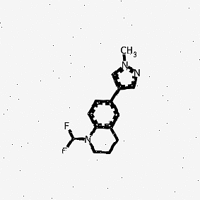 Cn1cc(-c2ccc3c(c2)CCCN3C(F)F)cn1